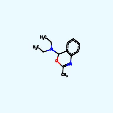 CCN(CC)C1OC(C)=Nc2ccccc21